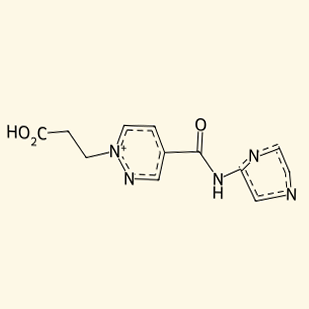 O=C(O)CC[n+]1ccc(C(=O)Nc2cnccn2)cn1